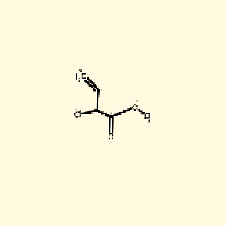 C=CC(Cl)C(=O)OCl